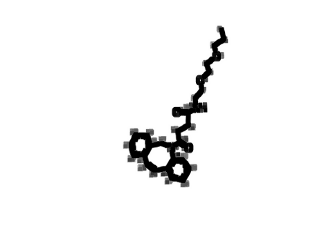 CCCOCCOCCNC(=O)CCC(=O)N1Cc2ccccc2/C=C\c2ccccc21